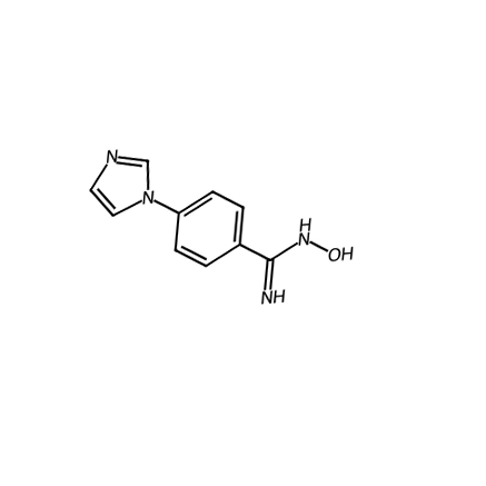 N=C(NO)c1ccc(-n2ccnc2)cc1